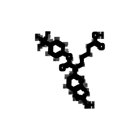 O=C(O)CCCCN(C(=O)Oc1ccc(C(F)(F)F)cc1)c1ccc2nc(S)sc2n1